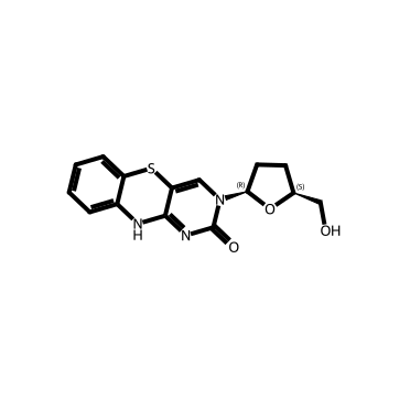 O=c1nc2c(cn1[C@H]1CC[C@@H](CO)O1)Sc1ccccc1N2